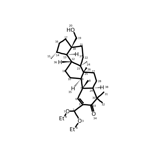 CCOC(OCC)C1=C[C@]2(C)[C@H]3CC[C@@H]4[C@H]5[C@H](C)CC[C@]5(CO)CC[C@@]4(C)[C@]3(C)CC[C@H]2C(C)(C)C1=O